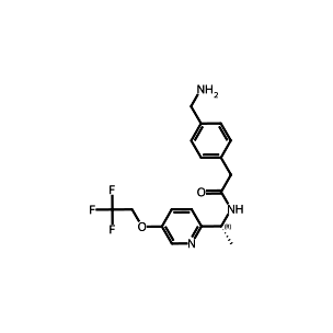 C[C@@H](NC(=O)Cc1ccc(CN)cc1)c1ccc(OCC(F)(F)F)cn1